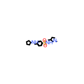 CN1CCC(CNS(=O)(=O)c2ccc(CNC3CCCC3)cc2)C1